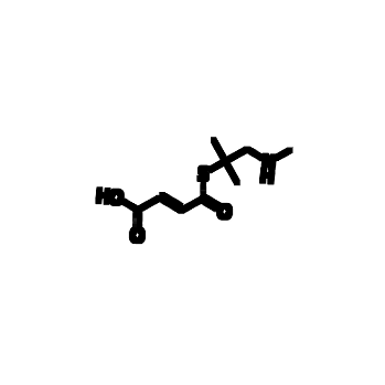 CNCC(C)(C)SC(=O)/C=C/C(=O)O